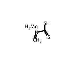 C=NC(=S)S.[MgH2]